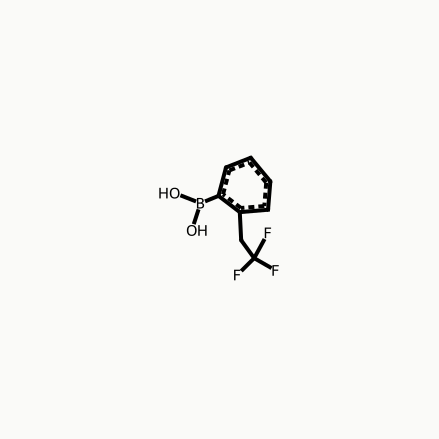 OB(O)c1ccccc1CC(F)(F)F